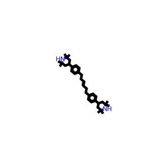 CC1(C)CC(c2ccc(CC/C=C/CCc3ccc(C4CC(C)(C)NC(C)(C)C4)cc3)cc2)CC(C)(C)N1